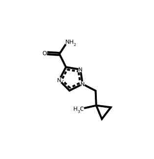 CC1(Cn2cnc(C(N)=O)n2)CC1